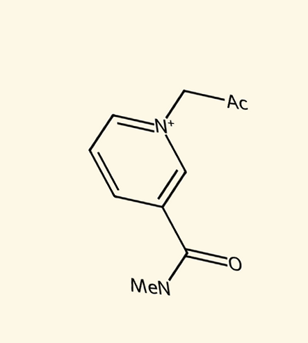 CNC(=O)c1ccc[n+](CC(C)=O)c1